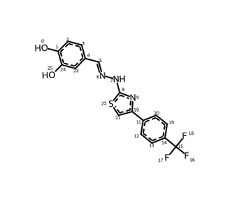 Oc1ccc(C=NNc2nc(-c3ccc(C(F)(F)F)cc3)cs2)cc1O